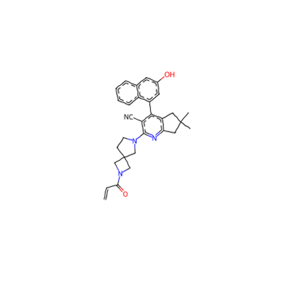 C=CC(=O)N1CC2(CCN(c3nc4c(c(-c5cc(O)cc6ccccc56)c3C#N)CC(C)(C)C4)C2)C1